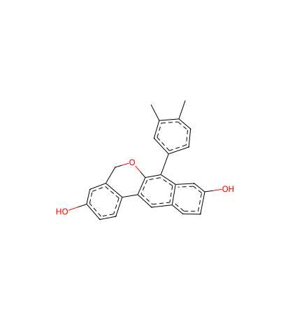 Cc1ccc(-c2c3c(cc4ccc(O)cc24)-c2ccc(O)cc2CO3)cc1C